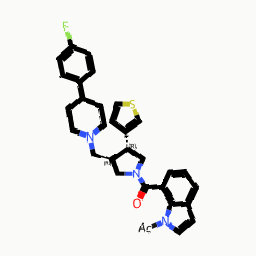 CC(=O)n1ccc2cccc(C(=O)N3C[C@@H](CN4CCC(c5ccc(F)cc5)CC4)[C@H](c4ccsc4)C3)c21